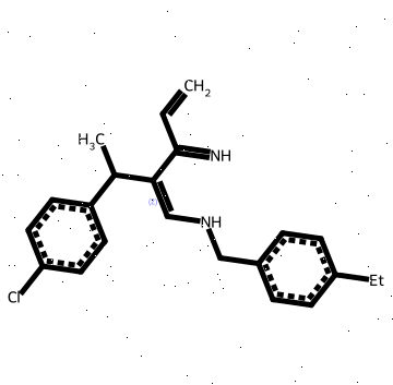 C=CC(=N)/C(=C\NCc1ccc(CC)cc1)C(C)c1ccc(Cl)cc1